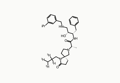 [3H]C([3H])C([3H])([3H])CN1C(=O)CC[C@@]12CCN([C@@H](C)C(=O)N[C@@H](Cc1ccccc1)[C@H](O)CNCc1cccc(C(C)C)c1)C2